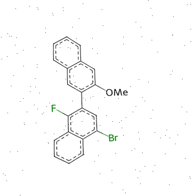 COc1cc2ccccc2cc1-c1cc(Br)c2ccccc2c1F